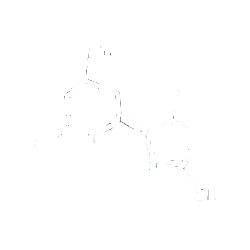 Cc1cc(C)n(-c2cc(C(C)(C)C)cc(Cl)n2)n1